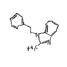 Cc1nc2ccccc2n1CCc1ccccc1